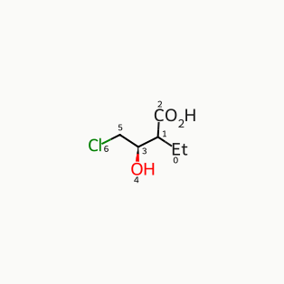 CCC(C(=O)O)[C@@H](O)CCl